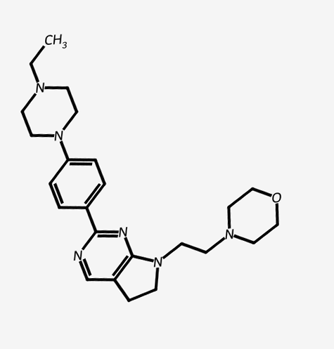 CCN1CCN(c2ccc(-c3ncc4c(n3)N(CCN3CCOCC3)CC4)cc2)CC1